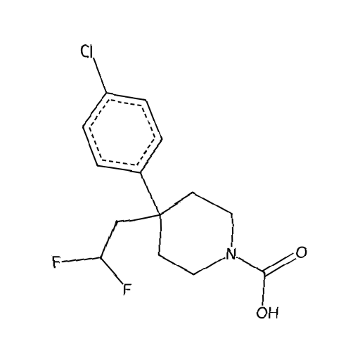 O=C(O)N1CCC(CC(F)F)(c2ccc(Cl)cc2)CC1